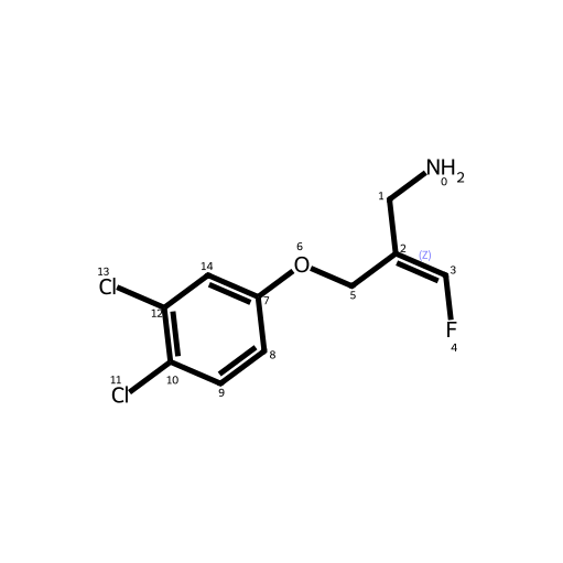 NC/C(=C/F)COc1ccc(Cl)c(Cl)c1